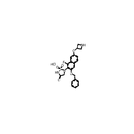 Cl.O=C1CN(c2c(OCc3ccccc3)cc3ccc(OC4CNC4)cc3c2F)S(=O)(=O)N1